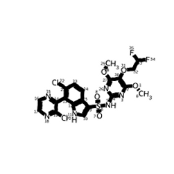 COc1nc(NS(=O)(=O)c2c[nH]c3c(-c4nccnc4Cl)c(Cl)ccc23)nc(OC)c1OCC(F)F